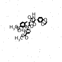 COC(=O)c1csc(NC(=O)[C@H](Cc2ccc(N(C)C)cc2)N2C(=O)N[C@H](c3ccc4c(c3)OCCO4)C2=O)n1